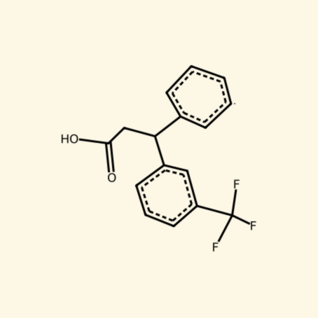 O=C(O)CC(c1c[c]ccc1)c1cccc(C(F)(F)F)c1